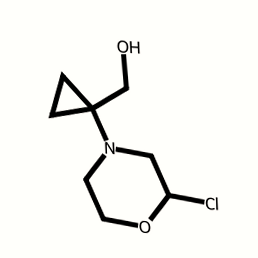 OCC1(N2CCOC(Cl)C2)CC1